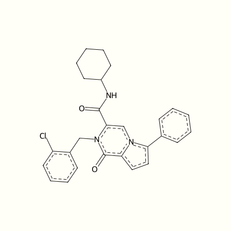 O=C(NC1CCCCC1)c1cn2c(-c3ccccc3)ccc2c(=O)n1Cc1ccccc1Cl